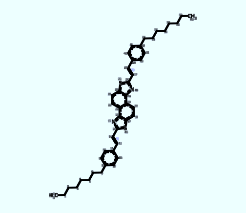 CCCCCCCCc1ccc(/C=C/c2nc3c(ccc4c3ccc3sc(/C=C/c5ccc(CCCCCCCC)cc5)nc34)s2)cc1